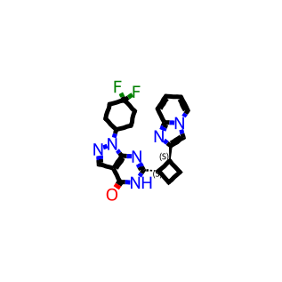 O=c1[nH]c([C@H]2CC[C@@H]2c2cn3ccccc3n2)nc2c1cnn2C1CCC(F)(F)CC1